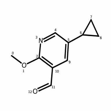 COc1ncc(C2CC2)cc1C=O